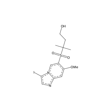 COc1cc2ncc(I)n2cc1S(=O)(=O)C(C)(C)CCO